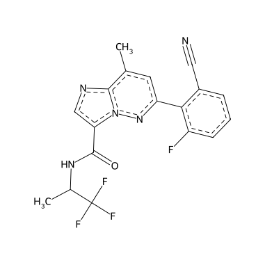 Cc1cc(-c2c(F)cccc2C#N)nn2c(C(=O)NC(C)C(F)(F)F)cnc12